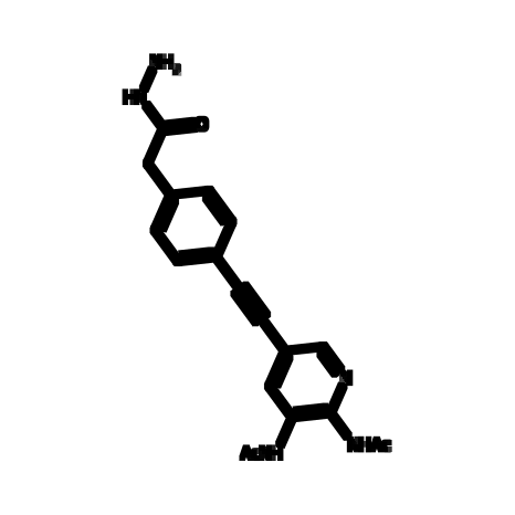 CC(=O)Nc1cc(C#Cc2ccc(CC(=O)NN)cc2)cnc1NC(C)=O